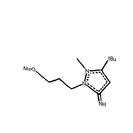 COCCCn1c(=N)cc(C(C)(C)C)n1C